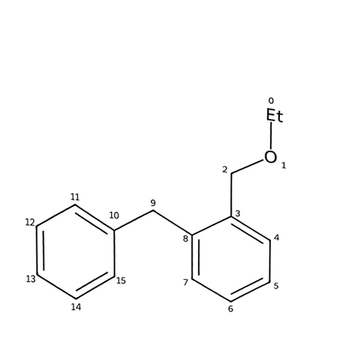 CCOCc1ccccc1Cc1ccccc1